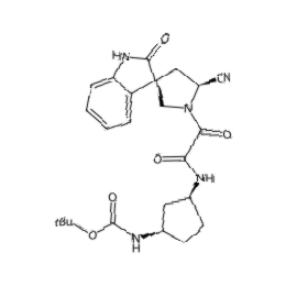 CC(C)(C)OC(=O)N[C@@H]1CC[C@H](NC(=O)C(=O)N2C[C@]3(C[C@H]2C#N)C(=O)Nc2ccccc23)C1